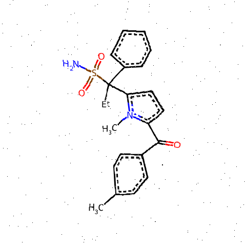 CCC(c1ccccc1)(c1ccc(C(=O)c2ccc(C)cc2)n1C)S(N)(=O)=O